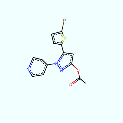 CC(=O)Oc1cc(-c2ccc(Br)s2)n(-c2ccncc2)n1